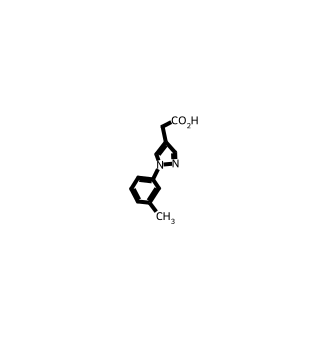 Cc1cccc(-n2cc(CC(=O)O)cn2)c1